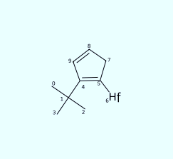 CC(C)(C)C1=[C]([Hf])CC=C1